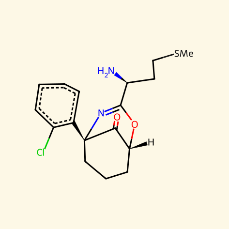 CSCC[C@H](N)C1=N[C@@]2(c3ccccc3Cl)CCC[C@@H](O1)C2=O